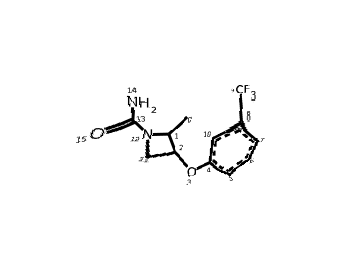 CC1C(Oc2cccc(C(F)(F)F)c2)CN1C(N)=O